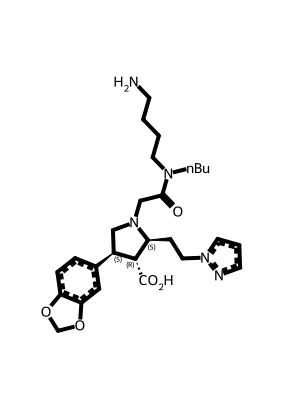 CCCCN(CCCCN)C(=O)CN1C[C@H](c2ccc3c(c2)OCO3)[C@@H](C(=O)O)[C@@H]1CCn1cccn1